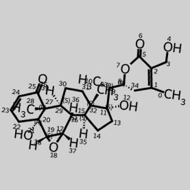 CC1=C(CO)C(=O)O[C@@H]([C@@H](C)[C@@]2(O)CC[C@H]3[C@@H]4[C@@H]5O[C@@H]5[C@@]5(O)CC=CC(=O)[C@]5(C)[C@H]4CC[C@@]32C)C1